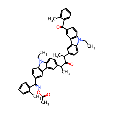 CCn1c2ccc(C(=O)c3ccccc3C)cc2c2cc(C(C)C(=O)C(C)c3ccc4c(c3)c3cc(C(=NOC(C)=O)c5ccccc5C)ccc3n4CC)ccc21